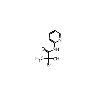 CC(C)(Br)C(=O)Nc1ccccn1